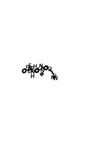 Nc1c(-c2ccc(NC(=O)OC(c3ccccc3)C(F)(F)F)cc2)n(C2CCC2)c2cc(OCCCCn3cncn3)ccc12